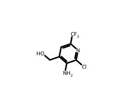 Nc1c(CO)cc(C(F)(F)F)nc1Cl